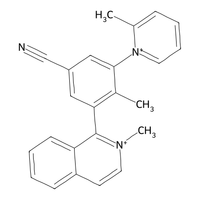 Cc1c(-c2c3ccccc3cc[n+]2C)cc(C#N)cc1-[n+]1ccccc1C